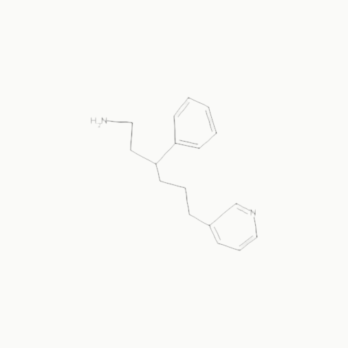 NCCC(CCCc1cccnc1)c1ccccc1